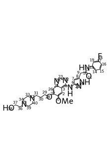 COc1cc2c(Nc3cc(CC(=O)Nc4cccc(F)c4)[nH]n3)ncnc2cc1OCCCN1CCN(CCO)CC1